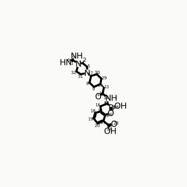 N=C(N)N1CCN([C@H]2CC[C@H](CC(=O)N[C@H]3Cc4cccc(C(=O)O)c4OB3O)CC2)CC1